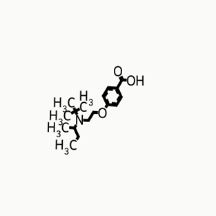 CCC(C)N(CCOc1ccc(C(=O)O)cc1)C(C)(C)C